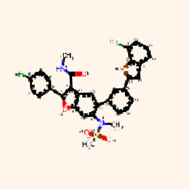 CNC(=O)c1c(-c2ccc(F)cc2)oc2cc(N(C)S(C)(=O)=O)c(-c3cccc(-c4cc5cccc(F)c5s4)c3)cc12